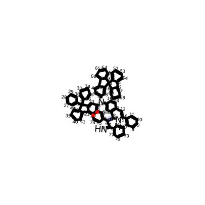 N=C(/C(=C1\NC(c2ccccc2)=Cc2ccc(N(c3ccc4c(c3)C(c3ccccc3)(c3ccccc3)c3ccccc3-4)c3ccc4c(c3)C3(c5ccccc5-c5ccccc53)c3ccccc3-4)cc21)c1ccccc1)c1ccccc1